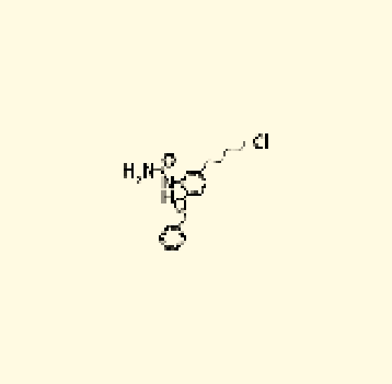 NC(=O)Nc1cc(CCCCCCl)ccc1OCc1ccccc1